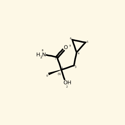 C[C@](O)([CH]C1CC1)C(N)=O